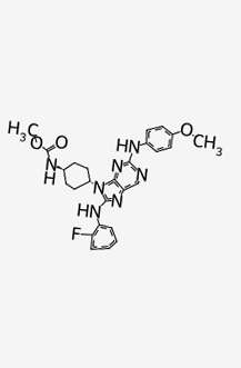 COC(=O)N[C@H]1CC[C@H](n2c(Nc3ccccc3F)nc3cnc(Nc4ccc(OC)cc4)nc32)CC1